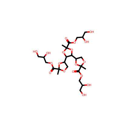 CC1(C(=O)OCC(O)CO)OCC(C2OC(C)(C(=O)OCC(O)CO)OC2C2COC(C)(C(=O)OCC(O)CO)O2)O1